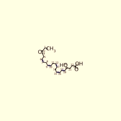 CCC1OC1C/C=C\C/C=C\C/C=C\C/C=C\C=C\C(O)CCC(=O)O